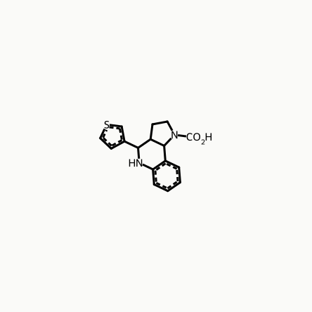 O=C(O)N1CCC2C(c3ccsc3)Nc3ccccc3C21